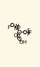 O=C(N1CCC(O)CC1)N1CC(c2ccc(C(F)(F)F)cc2)CC(c2nc(-c3cccc(F)c3)no2)C1